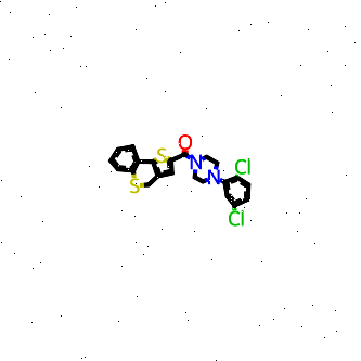 O=C(c1cc2c(s1)-c1ccccc1SC2)N1CCN(c2cc(Cl)ccc2Cl)CC1